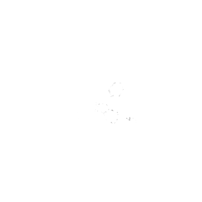 CCN(CC)CCn1nc2c3c(c(N)ccc31)Oc1cc(O)ccc1-2